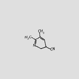 CC1=CC(C#N)CN=C1C